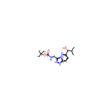 CC(C)C(O)c1ccc2nnc(CNC(=O)OC(C)(C)C)n2n1